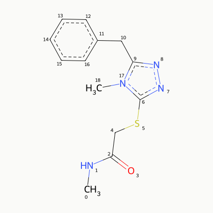 CNC(=O)CSc1nnc(Cc2ccccc2)n1C